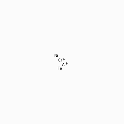 [Al-3].[Cr+3].[Fe].[Ni]